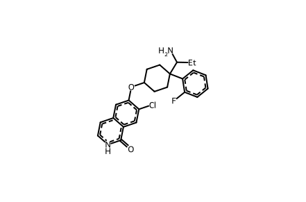 CCC(N)C1(c2ccccc2F)CCC(Oc2cc3cc[nH]c(=O)c3cc2Cl)CC1